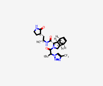 CC(C)(C)C(C(=O)N1C[C@H]2[C@@H]([C@H]1C(=O)N[C@H](C#N)C[C@@H]1CCNC1=O)[C@H]1C=C[C@@H]2C1)n1cc(C(F)(F)F)nn1